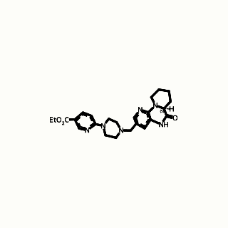 CCOC(=O)c1ccc(N2CCN(Cc3cnc4c(c3)NC(=O)[C@@H]3CCCCN43)CC2)nc1